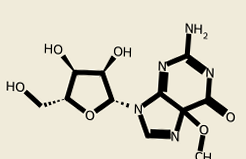 COC12N=CN([C@@H]3O[C@H](CO)[C@@H](O)[C@H]3O)C1=NC(N)=NC2=O